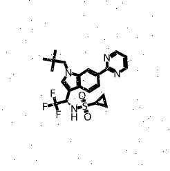 CC(C)(C)Cn1cc([C@H](NS(=O)(=O)C2CC2)C(F)(F)F)c2ccc(-c3ncccn3)cc21